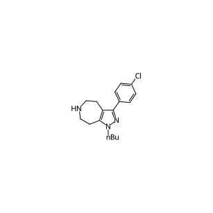 CCCCn1nc(-c2ccc(Cl)cc2)c2c1CCNCC2